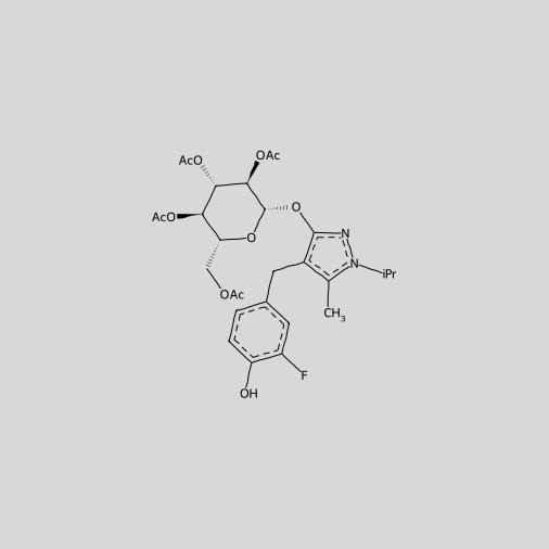 CC(=O)OC[C@H]1O[C@@H](Oc2nn(C(C)C)c(C)c2Cc2ccc(O)c(F)c2)[C@H](OC(C)=O)[C@@H](OC(C)=O)[C@@H]1OC(C)=O